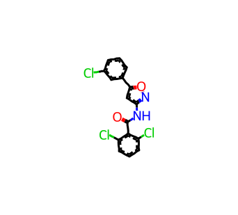 O=C(Nc1cc(-c2cccc(Cl)c2)on1)c1c(Cl)cccc1Cl